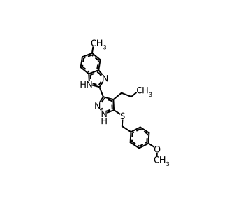 CCCc1c(-c2nc3cc(C)ccc3[nH]2)n[nH]c1SCc1ccc(OC)cc1